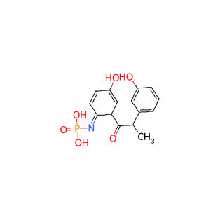 CC(C(=O)C1C=C(O)C=C/C1=N\P(=O)(O)O)c1cccc(O)c1